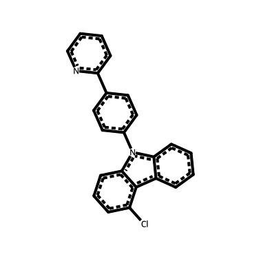 Clc1cccc2c1c1ccccc1n2-c1ccc(-c2ccccn2)cc1